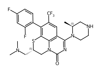 C[C@H]1CNCCN1c1nc(=O)n2c3c(c(-c4ccc(F)cc4F)c(C(F)(F)F)cc13)S[C@@H](CN(C)C)C2